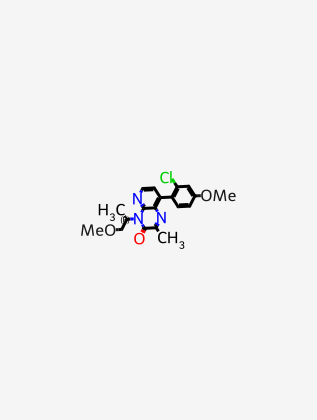 COC[C@@H](C)n1c(=O)c(C)nc2c(-c3ccc(OC)cc3Cl)ccnc21